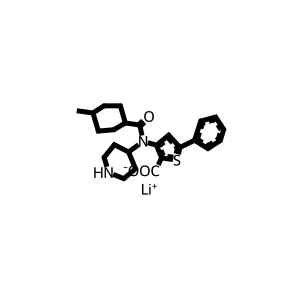 CC1CCC(C(=O)N(c2cc(-c3ccccc3)sc2C(=O)[O-])C2CCNCC2)CC1.[Li+]